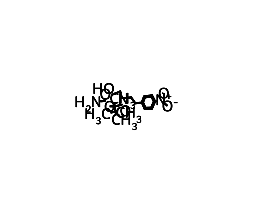 CC(C)(C)C(C)(OC(N)=O)C(=O)N(CCO)CCc1ccc([N+](=O)[O-])cc1